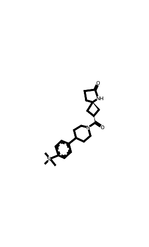 C[Si](C)(C)c1ccc(C2CCN(C(=O)[C@H]3C[C@]4(CCC(=O)N4)C3)CC2)cc1